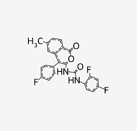 Cc1ccc2c(=O)oc(NC(=O)Nc3ccc(F)cc3F)c(-c3ccc(F)cc3)c2c1